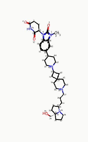 Cn1c(=O)n(C2CCC(=O)NC2=O)c2ccc(C3CCN(C4CC5(CCN(CCC[C@@H]6CC[C@]7(CO)CCCN67)CC5)C4)CC3)cc21